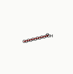 O=CCOCCOCCOCCOCCOCCOCCOCCOCCOCCOCC(=O)O